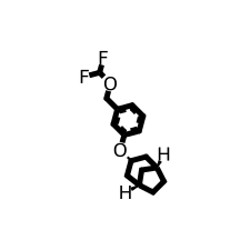 FC(F)OCc1cccc(O[C@@H]2C[C@@H]3CC[C@@H](C3)C2)c1